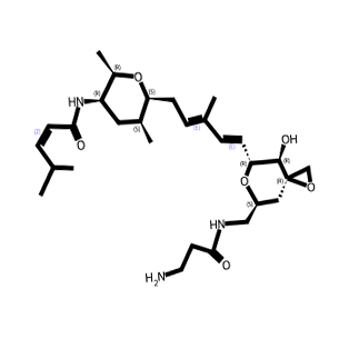 CC(/C=C/[C@H]1O[C@H](CNC(=O)CCN)C[C@@]2(CO2)[C@@H]1O)=C\C[C@@H]1O[C@H](C)[C@H](NC(=O)/C=C\C(C)C)C[C@@H]1C